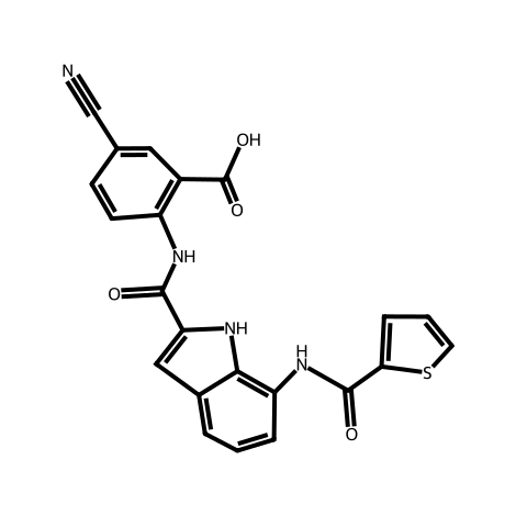 N#Cc1ccc(NC(=O)c2cc3cccc(NC(=O)c4cccs4)c3[nH]2)c(C(=O)O)c1